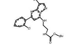 CC(C)(C)OC(=O)NCCNc1cc(-c2ccccc2Cl)nc2c(Br)cnn12